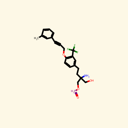 Cc1cccc(C#CCOc2ccc(CCC(N)(CO)CO[PH2]=O)cc2C(F)(F)F)c1